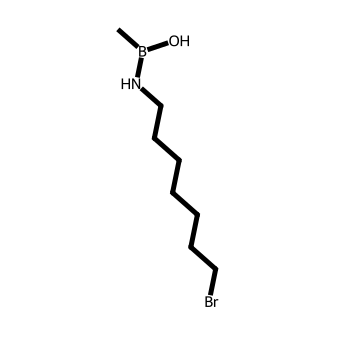 CB(O)NCCCCCCCBr